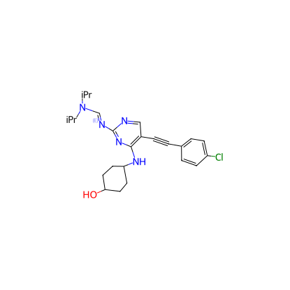 CC(C)N(/C=N/c1ncc(C#Cc2ccc(Cl)cc2)c(NC2CCC(O)CC2)n1)C(C)C